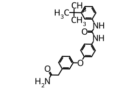 CC(C)(C)c1cccc(NC(=O)Nc2ccc(Oc3cccc(CC(N)=O)c3)cc2)c1